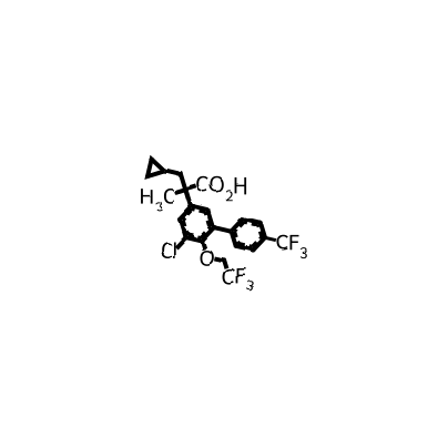 CC(CC1CC1)(C(=O)O)c1cc(Cl)c(OCC(F)(F)F)c(-c2ccc(C(F)(F)F)cc2)c1